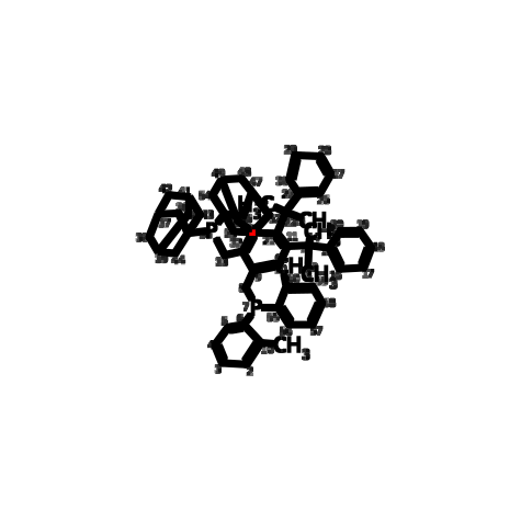 Cc1ccccc1P(Cc1cc(C(C)(C)c2ccccc2)c(C(C)(C)c2ccccc2)cc1CP(C12CC3CC(CC(C3)C1)C2)C12CC3CC(CC(C3)C1)C2)c1ccccc1C